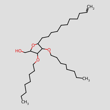 C=CCCCCCCCCCC1OC(CO)C(OCCCCCCCC)C1OCCCCCCCC